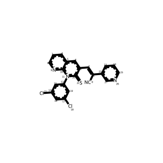 N#CC(=Cc1cc2cccnc2n(-c2cc(Cl)cc(Cl)c2)c1=S)c1cccnc1